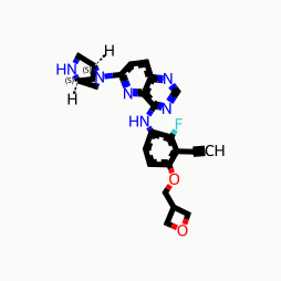 C#Cc1c(OCC2COC2)ccc(Nc2ncnc3ccc(N4C[C@@H]5C[C@H]4CN5)nc23)c1F